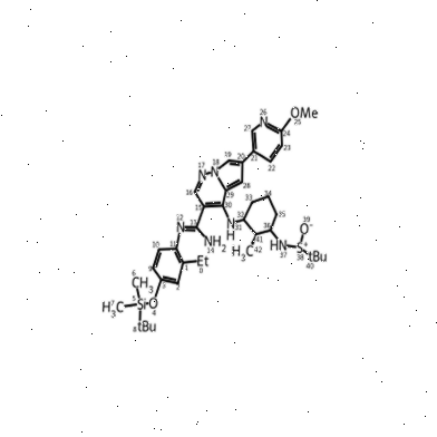 CCc1cc(O[Si](C)(C)C(C)(C)C)ccc1/N=C(\N)c1cnn2cc(-c3ccc(OC)nc3)cc2c1NC1CCCC(N[S+]([O-])C(C)(C)C)[C@H]1C